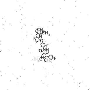 COc1cc2nccc(Oc3ccc(NC(=O)c4cn(C)c(C)c(-c5ccc(F)cc5)c4=O)c(F)c3)c2nc1OC